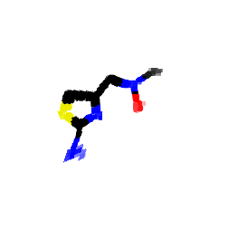 CC(C)[N+]([O-])=Cc1csc(N)n1